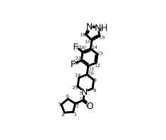 O=C(C1CCCC1)N1CCC(c2ccc(-c3cn[nH]c3)c(F)c2F)CC1